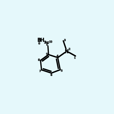 B.CN(C)c1ccccc1F